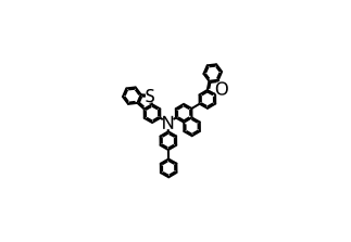 c1ccc(-c2ccc(N(c3ccc4c(c3)sc3ccccc34)c3ccc(-c4ccc5oc6ccccc6c5c4)c4ccccc34)cc2)cc1